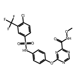 CONC(=O)c1ncnc(Oc2ccc(NS(=O)(=O)c3ccc(Cl)c(C(F)(F)F)c3)cc2)n1